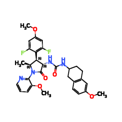 COc1cc(F)c([C@H]2[C@H](NC(=O)NC3CCc4cc(OC)ccc4C3)C(=O)N(c3ncccc3OC)[C@H]2C)c(F)c1